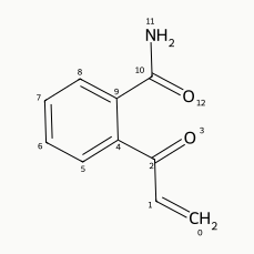 C=CC(=O)c1ccccc1C(N)=O